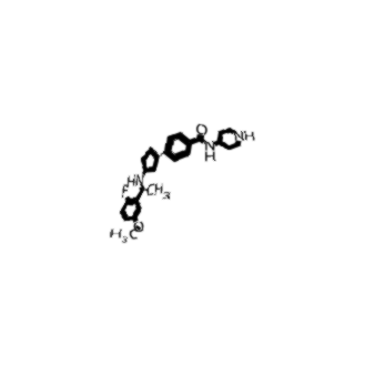 COc1ccc(F)c([C@@H](C)NC2CC[C@H](c3ccc(C(=O)NC4CCNCC4)cc3)C2)c1